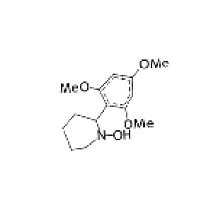 COc1cc(OC)c(C2CCCCN2O)c(OC)c1